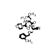 Cc1ccccc1COC[C@@H](C#N)NC(=O)[C@H](CC(C)C)NC(=O)N1CCOCC1